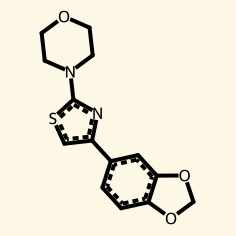 c1cc2c(cc1-c1csc(N3CCOCC3)n1)OCO2